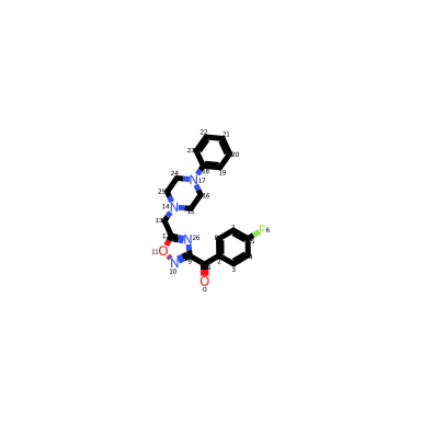 O=C(c1ccc(F)cc1)c1noc(CN2CCN(c3ccccc3)CC2)n1